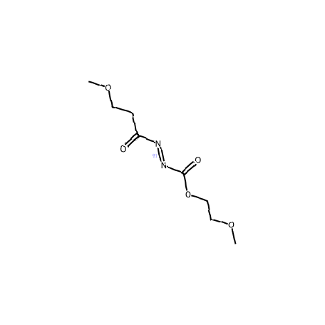 COCCOC(=O)/N=N/C(=O)CCOC